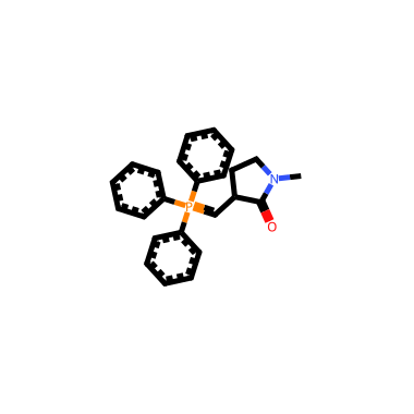 CN1CCC(C=P(c2ccccc2)(c2ccccc2)c2ccccc2)C1=O